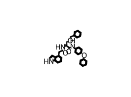 O=C(Cc1cccc2[nH]ccc12)N[C@@H](COCc1ccccc1)C(=O)Nc1ccc(Oc2ccccc2)cc1